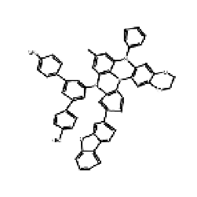 Cc1cc2c3c(c1)N(c1ccccc1)c1cc4c(cc1B3c1ccc(-c3ccc5c(c3)oc3ccccc35)cc1N2c1cc(-c2ccc(C(C)(C)C)cc2)cc(-c2ccc(C(C)(C)C)cc2)c1)OCCO4